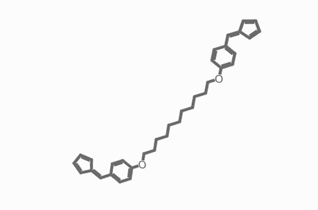 C1=CC(=Cc2ccc(OCCCCCCCCCCCOc3ccc(C=C4C=CC=C4)cc3)cc2)C=C1